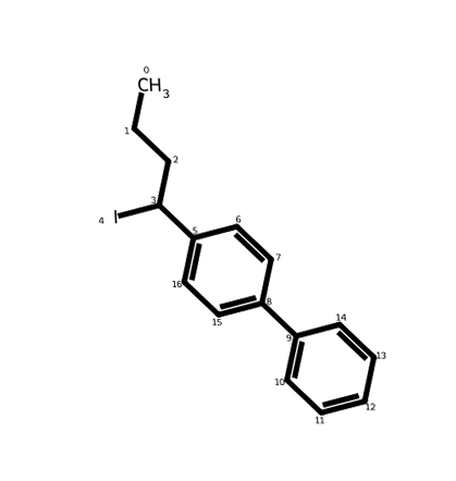 CCCC(I)c1ccc(-c2ccccc2)cc1